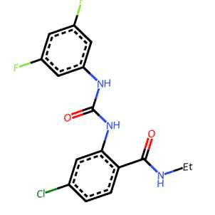 CCNC(=O)c1ccc(Cl)cc1NC(=O)Nc1cc(F)cc(F)c1